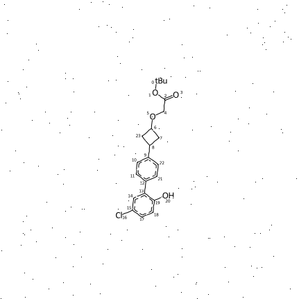 CC(C)(C)OC(=O)COC1CC(c2ccc(-c3cc(Cl)ccc3O)cc2)C1